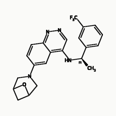 C[C@@H](Nc1cnnc2ccc(N3CC4CC(C3)O4)cc12)c1cccc(C(F)(F)F)c1